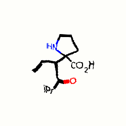 C=CC(C(=O)C(C)C)C1(C(=O)O)CCCN1